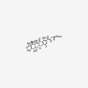 CCCCCNCC(=O)Nc1cc(F)c2c(c1O)C(=O)C1=C(O)[C@]3(O)C(=O)C(C(N)=O)=C(O)[C@@H](N(C)C)[C@@H]3C[C@@H]1C2